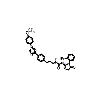 CC(C)c1ccccc1N1C(=O)CS/C1=N\C(=O)NCCCc1ccc(-c2ncn(-c3ccc(OC(F)(F)F)cc3)n2)cc1